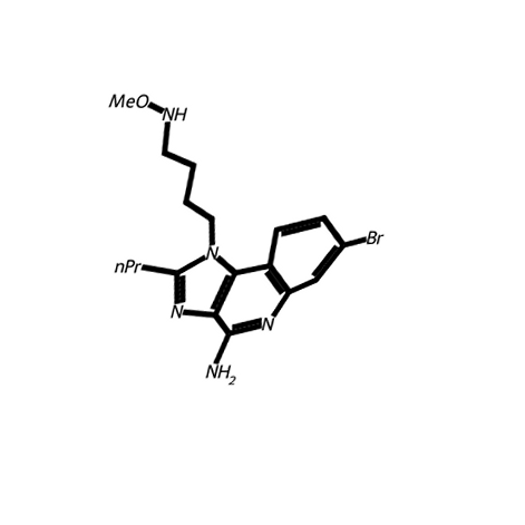 CCCc1nc2c(N)nc3cc(Br)ccc3c2n1CCCCNOC